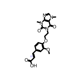 COc1cc(/C=C/C(=O)O)ccc1OCCn1c(=O)c2c(ncn2C)n(C)c1=O